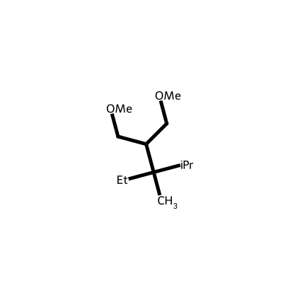 CCC(C)(C(C)C)C(COC)COC